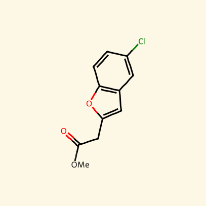 COC(=O)Cc1cc2cc(Cl)ccc2o1